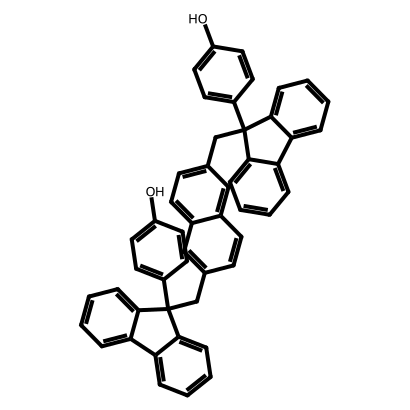 Oc1ccc(C2(Cc3ccc4cc(CC5(c6ccc(O)cc6)c6ccccc6-c6ccccc65)ccc4c3)c3ccccc3-c3ccccc32)cc1